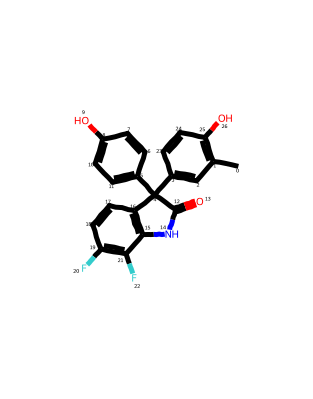 Cc1cc(C2(c3ccc(O)cc3)C(=O)Nc3c2ccc(F)c3F)ccc1O